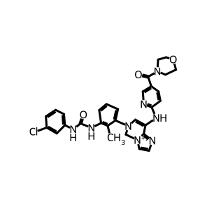 Cc1c(NC(=O)Nc2cccc(Cl)c2)cccc1N1C=C(Nc2ccc(C(=O)N3CCOCC3)cn2)C2=NC=C[N+]2C1